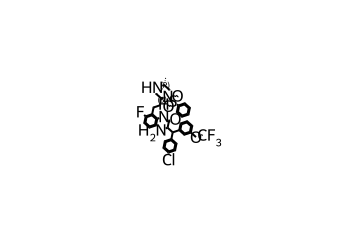 C[C@@H]1CN(S(=O)(=O)c2ccccc2)[C@@H](CCc2c(F)cccc2NC(=O)C(N)C(c2ccc(Cl)cc2)c2cccc(OC(F)(F)F)c2)CN1